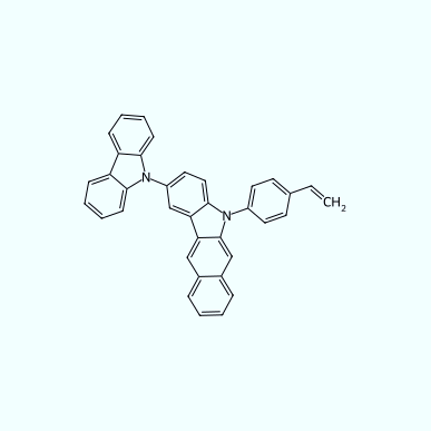 C=Cc1ccc(-n2c3ccc(-n4c5ccccc5c5ccccc54)cc3c3cc4ccccc4cc32)cc1